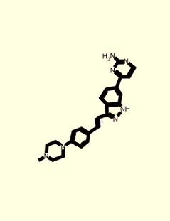 CN1CCN(c2ccc(/C=C/c3n[nH]c4cc(-c5ccnc(N)n5)ccc34)cc2)CC1